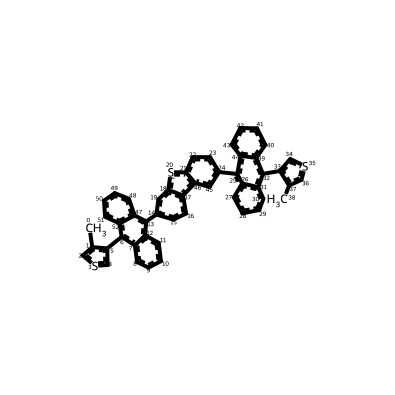 Cc1cscc1-c1c2ccccc2c(-c2ccc3c(c2)sc2ccc(-c4c5ccccc5c(-c5cscc5C)c5ccccc45)cc23)c2ccccc12